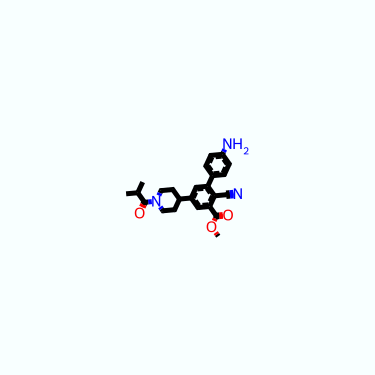 COC(=O)c1cc(C2CCN(C(=O)C(C)C)CC2)cc(-c2ccc(N)cc2)c1C#N